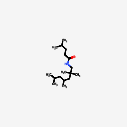 CC(C)CCC(=O)NCC(C)(C)CC(C)CC(C)C